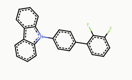 Fc1cccc(-c2ccc(-n3c4ccccc4c4ccccc43)cc2)c1F